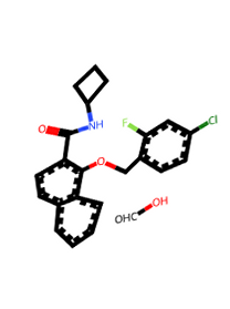 O=C(NC1CCC1)c1ccc2ccccc2c1OCc1ccc(Cl)cc1F.O=CO